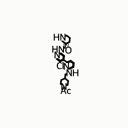 CC(=O)N1CCC(CNc2cccc(-c3cc(NC(=O)[C@@H]4CCCNC4)ncc3Cl)n2)CC1